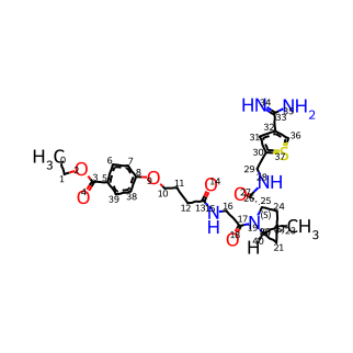 CCOC(=O)c1ccc(OCCCC(=O)NCC(=O)N2[C@H]3C[C@@]3(C)C[C@H]2C(=O)NCc2cc(C(=N)N)cs2)cc1